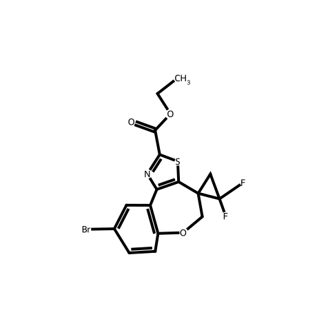 CCOC(=O)c1nc2c(s1)C1(COc3ccc(Br)cc3-2)CC1(F)F